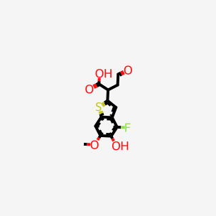 COc1cc2sc(C(CC=O)C(=O)O)cc2c(F)c1O